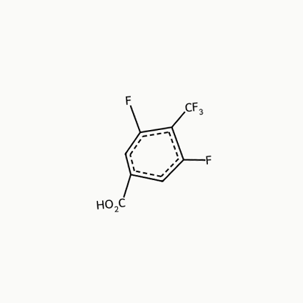 O=C(O)c1cc(F)c(C(F)(F)F)c(F)c1